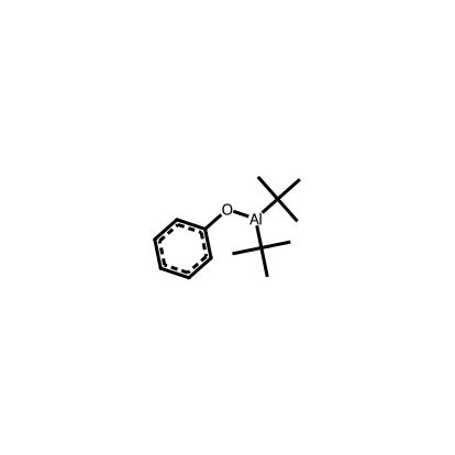 C[C](C)(C)[Al]([O]c1ccccc1)[C](C)(C)C